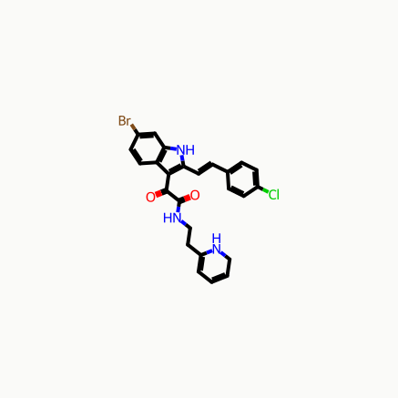 O=C(NCCC1=CC=CCN1)C(=O)c1c(/C=C/c2ccc(Cl)cc2)[nH]c2cc(Br)ccc12